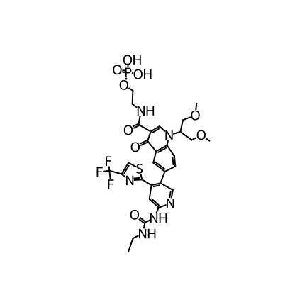 CCNC(=O)Nc1cc(-c2nc(C(F)(F)F)cs2)c(-c2ccc3c(c2)c(=O)c(C(=O)NCCOP(=O)(O)O)cn3C(COC)COC)cn1